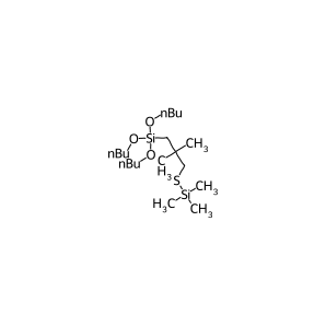 CCCCO[Si](CC(C)(C)CS[Si](C)(C)C)(OCCCC)OCCCC